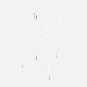 [CH2]C(C=C)c1ccc(C(C)C)c(Br)c1